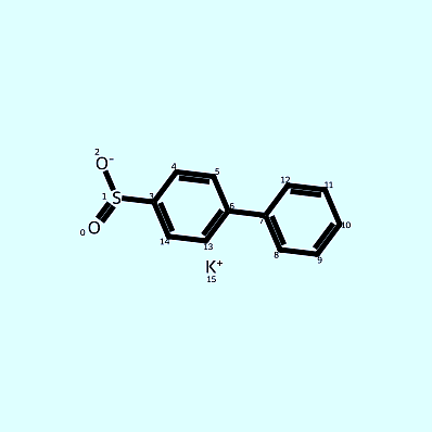 O=S([O-])c1ccc(-c2ccccc2)cc1.[K+]